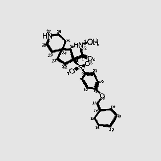 O=C(NO)C1(S(=O)(=O)c2ccc(OCC3CCCCC3)cc2)CCC2(CCNCC2)C1